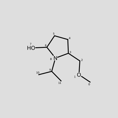 COCC1CCC(O)N1C(C)C